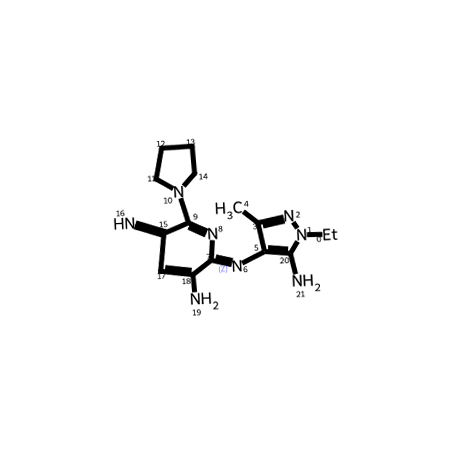 CCn1nc(C)c(/N=C2\N=C(N3CCCC3)C(=N)C=C2N)c1N